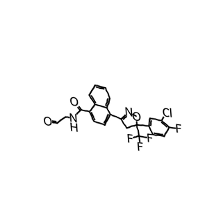 O=CCNC(=O)c1ccc(C2=NOC(c3ccc(F)c(Cl)c3)(C(F)(F)F)C2)c2ccccc12